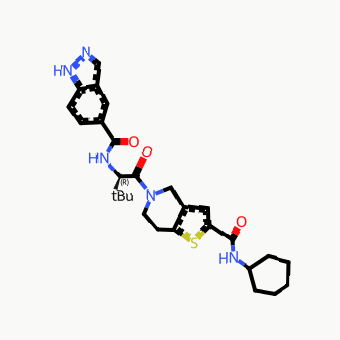 CC(C)(C)[C@@H](NC(=O)c1ccc2[nH]ncc2c1)C(=O)N1CCc2sc(C(=O)NC3CCCCC3)cc2C1